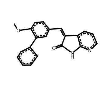 COc1ccc(C=C2C(=O)Nc3ncccc32)cc1-c1ccccc1